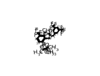 COC(=O)N(Cc1cc(C(F)(F)F)cc(C(F)(F)F)c1)Cc1cc(C(F)(F)F)ccc1B1OC(C)(C)C(C)(C)O1